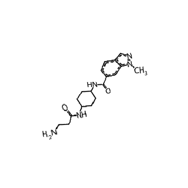 Cn1ncc2ccc(C(=O)NC3CCC(NC(=O)CCN)CC3)cc21